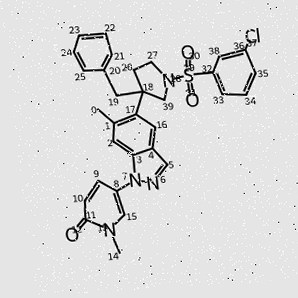 Cc1cc2c(cnn2-c2ccc(=O)n(C)c2)cc1C1(Cc2ccccc2)CCN(S(=O)(=O)c2cccc(Cl)c2)C1